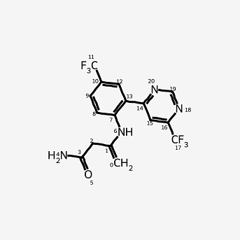 C=C(CC(N)=O)Nc1ccc(C(F)(F)F)cc1-c1cc(C(F)(F)F)ncn1